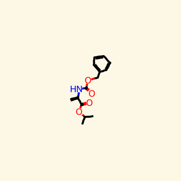 C=C(NC(=O)OCc1ccccc1)C(=O)OC(C)C